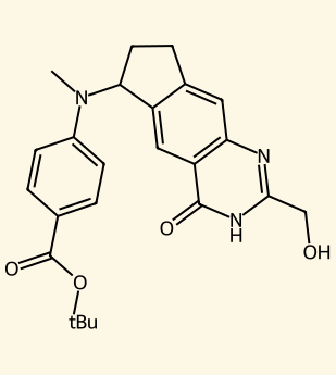 CN(c1ccc(C(=O)OC(C)(C)C)cc1)C1CCc2cc3nc(CO)[nH]c(=O)c3cc21